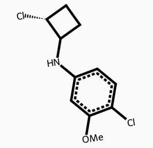 COc1cc(NC2CC[C@H]2Cl)ccc1Cl